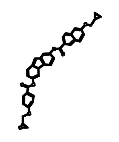 O=C(OC1=CC2C(=Cc3cc(OC(=O)c4ccc5cc(OCC6CC6)ccc5c4)ccc32)C=C1)c1ccc(OCC2CO2)cc1